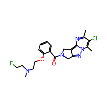 Cc1nc2c3c(nn2c(C)c1Cl)CN(C(=O)c1ccccc1OCCN(C)CCF)C3